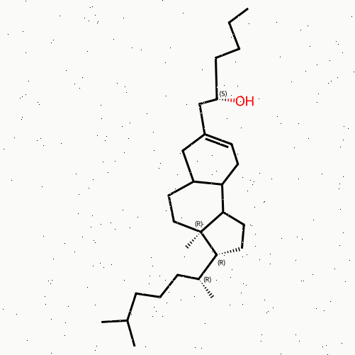 CCCC[C@H](O)CC1=CCC2C(CC[C@@]3(C)C2CC[C@@H]3[C@H](C)CCCC(C)C)C1